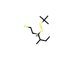 CCC(C)[C@@H](CCF)SSC(C)(C)C